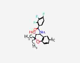 CC(=O)c1ccc2c(c1)C(NC(=O)c1ccc(F)c(F)c1F)C(O)C(C)(C)O2